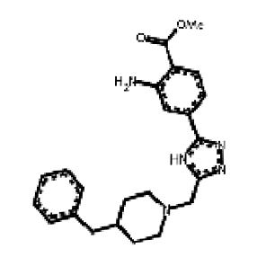 COC(=O)c1ccc(-c2nnc(CN3CCC(Cc4ccccc4)CC3)[nH]2)cc1N